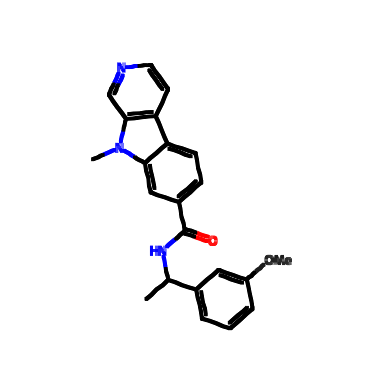 COc1cccc(C(C)NC(=O)c2ccc3c4ccncc4n(C)c3c2)c1